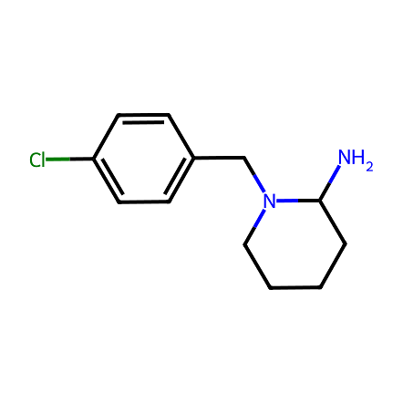 NC1CCCCN1Cc1ccc(Cl)cc1